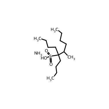 CCCCC(C)C(CCCC)(CCCC)S(=O)(=O)O.N